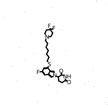 O=C1CCC(n2cc3cc(F)cc(SCCCCCCCN4CCC(F)(F)CC4)c3c2)C(=O)N1